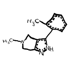 Cc1ccccc1-c1[nH]nc2c1CN(C)C2